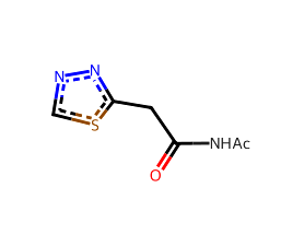 CC(=O)NC(=O)Cc1nncs1